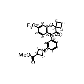 COC(=O)C1CN(c2cccc(N3C(=O)C4(CCC4)Oc4cc(C(F)(F)F)ccc43)c2)C1